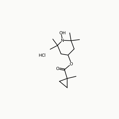 CC1(C(=O)OC2CC(C)(C)N(O)C(C)(C)C2)CC1.Cl